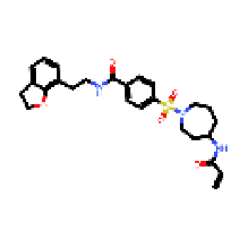 C=CC(=O)NC1CCCN(S(=O)(=O)c2ccc(C(=O)NCCc3cccc4c3OCC4)cc2)CC1